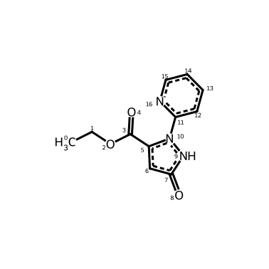 CCOC(=O)c1cc(=O)[nH]n1-c1ccccn1